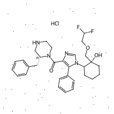 Cl.O=C(c1ncn(C2CCCCC2(O)COCC(F)F)c1-c1ccccc1)N1CCNC[C@H]1Cc1ccccc1